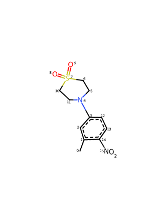 Cc1cc(N2CCS(=O)(=O)CC2)ccc1[N+](=O)[O-]